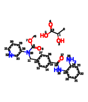 CC(O)C(=O)O.COC(=O)N(Cc1ccc(C(=O)Nc2ccccc2N)cc1)c1cccnc1